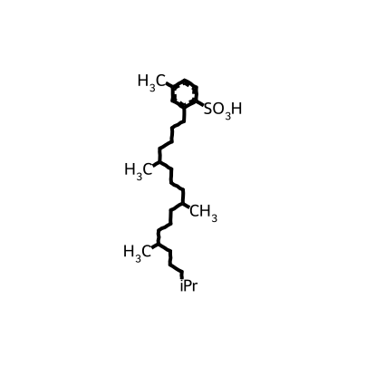 Cc1ccc(S(=O)(=O)O)c(CCCCC(C)CCCC(C)CCCC(C)CCCC(C)C)c1